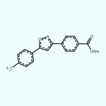 COC(=O)c1ccc(-c2cc(-c3ccc(C(F)(F)F)cc3)on2)cc1